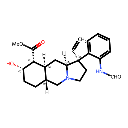 C=C[C@]1(c2ccccc2NC=O)CCN2C[C@@H]3CC[C@H](O)[C@H](C(=O)OC)[C@H]3C[C@H]21